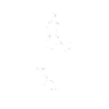 Cc1c(-c2cccc(CC(O)CNC(=O)c3ccccc3O)c2)sc2c(N3CCOCC3)nc(-c3cnc(N)nc3)nc12